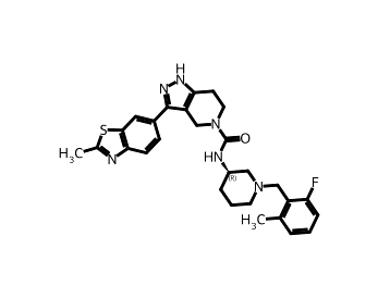 Cc1nc2ccc(-c3n[nH]c4c3CN(C(=O)N[C@@H]3CCCN(Cc5c(C)cccc5F)C3)CC4)cc2s1